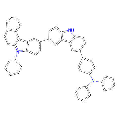 c1ccc(N(c2ccccc2)c2ccc(-c3ccc4[nH]c5ccc(-c6ccc7c(c6)c6c8ccccc8ccc6n7-c6ccccc6)cc5c4c3)cc2)cc1